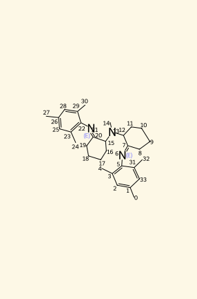 Cc1cc(C)c(/N=C2\CCCCC2N(C)C2CCCC/C2=N\c2c(C)cc(C)cc2C)c(C)c1